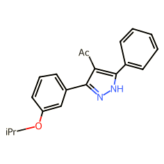 CC(=O)c1c(-c2cccc(OC(C)C)c2)n[nH]c1-c1ccccc1